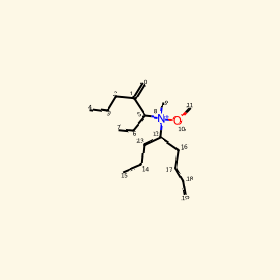 C=C(CCC)C(CC)[N+](C)(OC)C(CCC)CCCC